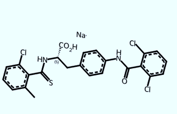 Cc1cccc(Cl)c1C(=S)N[C@@H](Cc1ccc(NC(=O)c2c(Cl)cccc2Cl)cc1)C(=O)O.[Na]